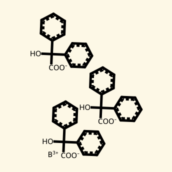 O=C([O-])C(O)(c1ccccc1)c1ccccc1.O=C([O-])C(O)(c1ccccc1)c1ccccc1.O=C([O-])C(O)(c1ccccc1)c1ccccc1.[B+3]